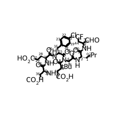 CC(C)C[C@H](NC(=O)[C@@H](N(C(=O)CCC(=O)O)C(=O)[C@H](Cc1ccc(Cl)cc1)NC(=O)[C@H](CCC(=O)O)NC(=O)[C@@H](N)CC(=O)O)C(C)(C)C)C(=O)NC(C=O)CC(F)(F)F